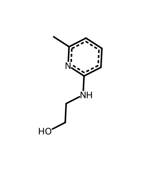 Cc1cccc(NCCO)n1